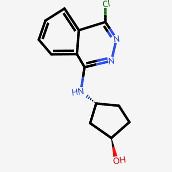 O[C@@H]1CC[C@@H](Nc2nnc(Cl)c3ccccc23)C1